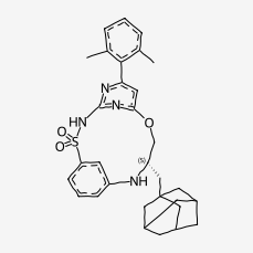 Cc1cccc(C)c1-c1cc2nc(n1)NS(=O)(=O)c1cccc(c1)N[C@@H](CC13CC4CC(CC(C4)C1)C3)CO2